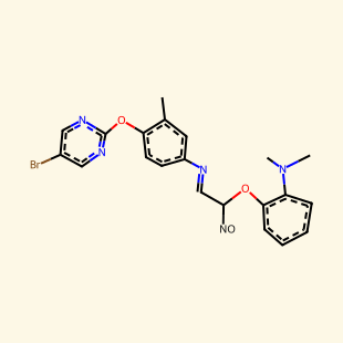 Cc1cc(N=CC(N=O)Oc2ccccc2N(C)C)ccc1Oc1ncc(Br)cn1